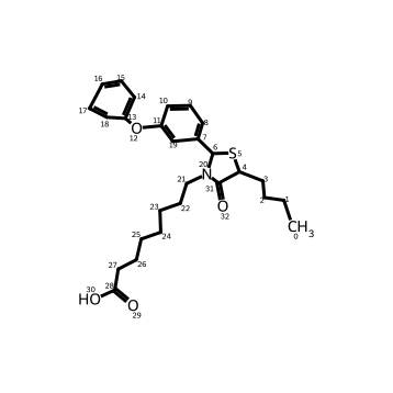 CCCCC1SC(c2cccc(Oc3ccccc3)c2)N(CCCCCCCC(=O)O)C1=O